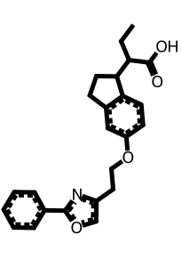 CCC(C(=O)O)C1CCc2cc(OCCc3coc(-c4ccccc4)n3)ccc21